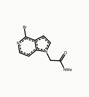 CNC(=O)Cn1ccc2c(Br)nccc21